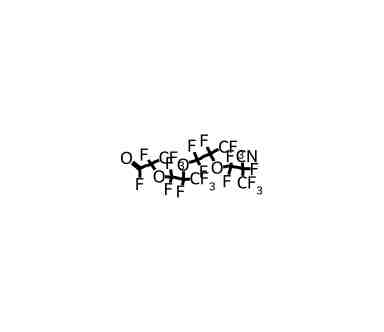 N#CC(F)(C(F)(F)F)C(F)(F)OC(F)(C(F)(F)F)C(F)(F)OC(F)(C(F)(F)F)C(F)(F)OC(F)(C(=O)F)C(F)(F)F